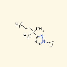 CCCC(C)(C)c1ccn(C2CC2)n1